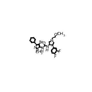 COCCN1C[C@@H](NC(=O)Nc2c(Br)c(-c3ccccc3)nn2C)[C@H](c2ccc(F)c(F)c2)C1